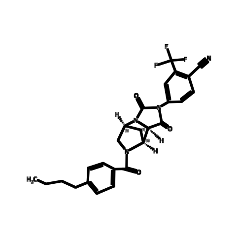 CCCCc1ccc(C(=O)N2C[C@@H]3C[C@H]2[C@@H]2C(=O)N(c4ccc(C#N)c(C(F)(F)F)c4)C(=O)N32)cc1